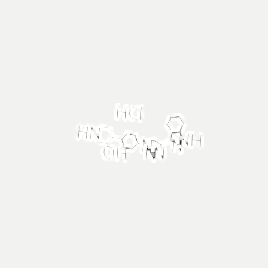 Cl.OC1CNCCC1c1ccc(-n2cc(-c3n[nH]c4ccccc34)nn2)cc1